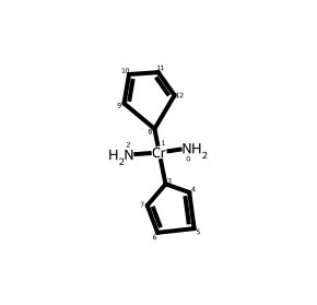 [NH2][Cr]([NH2])([CH]1C=CC=C1)[CH]1C=CC=C1